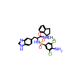 CC1(NC(=O)C(Cc2ccc3[nH]cnc3c2)NS(=O)(=O)c2cc(Cl)c(N)c(Cl)c2)CCc2ccccc21